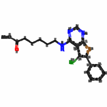 COC(=O)CCCCCNc1ncnc2sc(-c3ccccc3)c(Br)c12